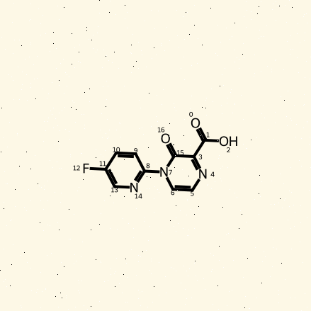 O=C(O)c1nccn(-c2ccc(F)cn2)c1=O